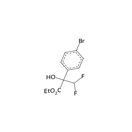 CCOC(=O)C(O)(c1ccc(Br)cc1)C(F)F